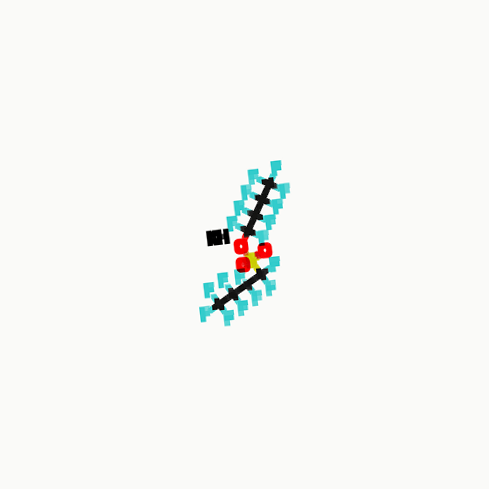 O=S(=O)(OC(F)(F)C(F)(F)C(F)(F)C(F)(F)F)C(F)(F)C(F)(F)C(F)(F)C(F)(F)F.[KH]